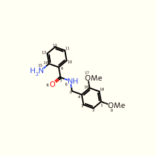 COc1ccc(CNC(=O)c2ccccc2N)c(OC)c1